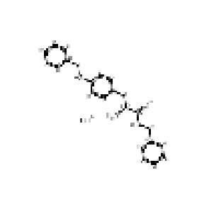 Cl.N[C@@H](Cc1ccc(OCc2ccccc2)cc1)C(=O)OCc1ccccc1